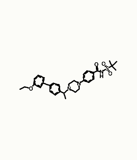 CCOc1cccc(-c2ccc(C(C)N3CCN(c4ccc(C(=O)NS(=O)(=O)C(C)(C)C)cc4)CC3)cc2)c1